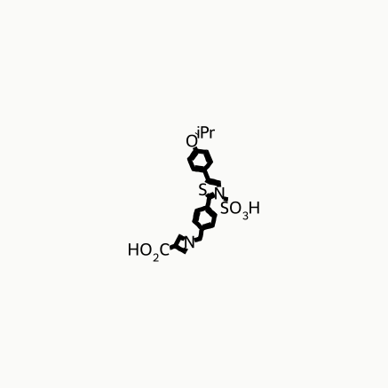 CC(C)Oc1ccc(-c2cnc(-c3ccc(CN4CC(C(=O)O)C4)cc3)s2)cc1.CS(=O)(=O)O